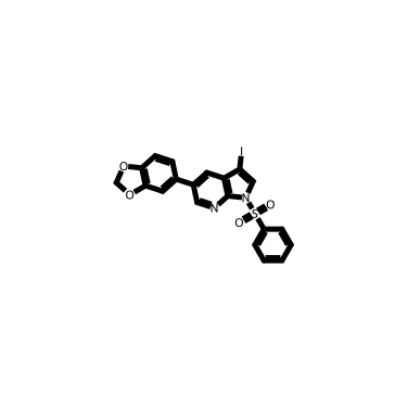 O=S(=O)(c1ccccc1)n1cc(I)c2cc(-c3ccc4c(c3)OCO4)cnc21